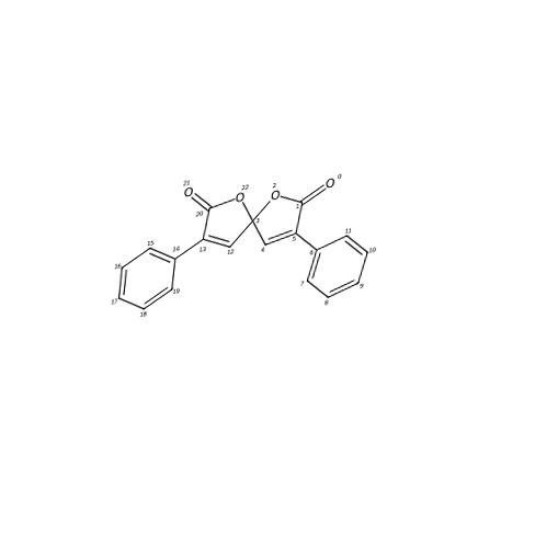 O=C1OC2(C=C1c1ccccc1)C=C(c1ccccc1)C(=O)O2